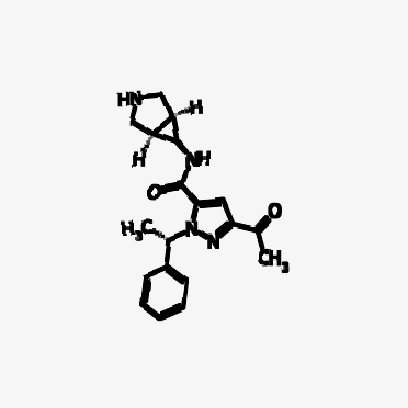 CC(=O)c1cc(C(=O)NC2[C@H]3CNC[C@@H]23)n([C@@H](C)c2ccccc2)n1